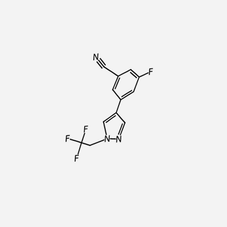 N#Cc1cc(F)cc(-c2cnn(CC(F)(F)F)c2)c1